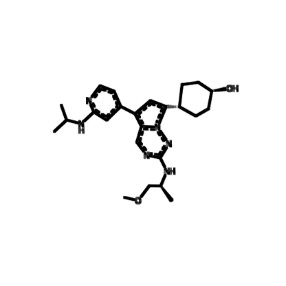 COC[C@H](C)Nc1ncc2c(-c3ccnc(NC(C)C)c3)cc([C@H]3CC[C@H](O)CC3)n2n1